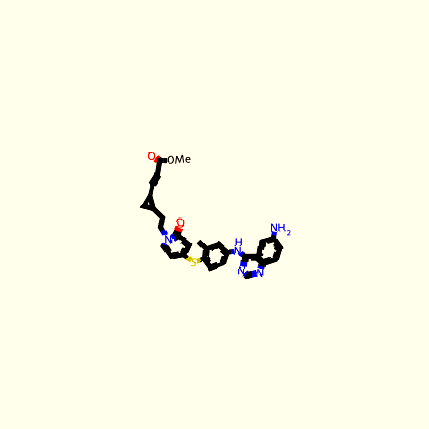 COC(=O)C#CC1CC1CCn1ccc(Sc2ccc(Nc3ncnc4ccc(N)cc34)cc2C)cc1=O